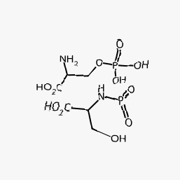 NC(COP(=O)(O)O)C(=O)O.O=C(O)C(CO)NP(=O)=O